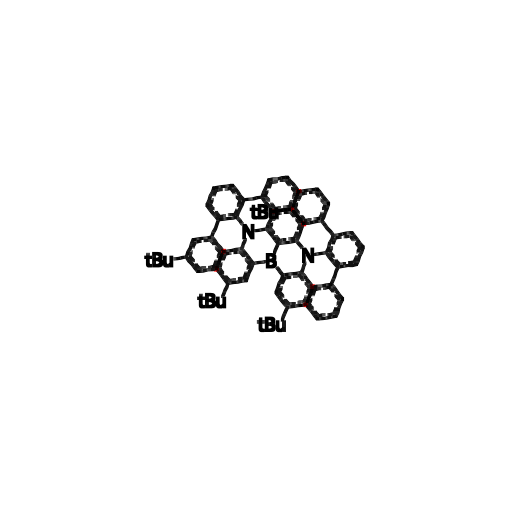 CC(C)(C)c1cccc(-c2cccc(-c3ccccc3)c2N2c3ccc(C(C)(C)C)cc3B3c4cc(C(C)(C)C)ccc4N(c4c(-c5ccccc5)cccc4-c4cccc(C(C)(C)C)c4)c4cccc2c43)c1